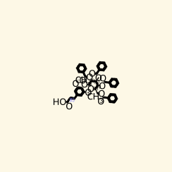 COc1cc(/C=C/C(=O)O)cc(OC)c1O[C@@H]1O[C@H](COC(=O)c2ccccc2)[C@@H](OC(=O)c2ccccc2)[C@H](OC(=O)c2ccccc2)[C@H]1OC(=O)c1ccccc1